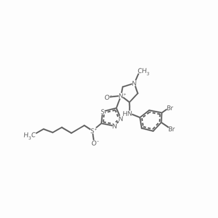 CCCCCC[S+]([O-])c1nnc([N+]2([O-])CN(C)CC2Nc2ccc(Br)c(Br)c2)s1